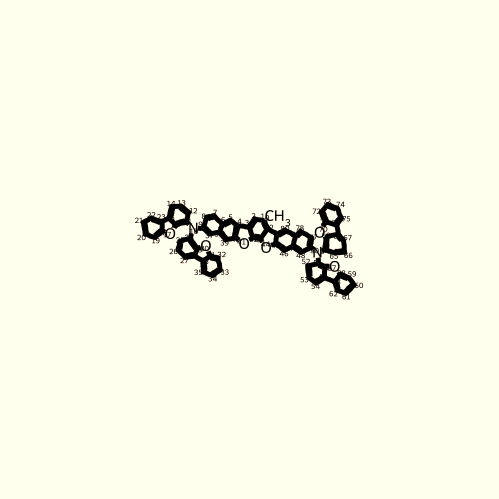 Cc1cc2c3cc4ccc(N(c5cccc6c5oc5ccccc56)c5cccc6c5oc5ccccc56)cc4cc3oc2c2oc3cc4cc(N(c5cccc6c5oc5ccccc56)c5cccc6c5oc5ccccc56)ccc4cc3c12